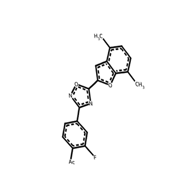 CC(=O)c1ccc(-c2noc(-c3cc4c(C)ccc(C)c4o3)n2)cc1F